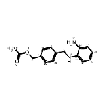 NC(=O)OCc1ccc(CNc2ccccc2N)cc1